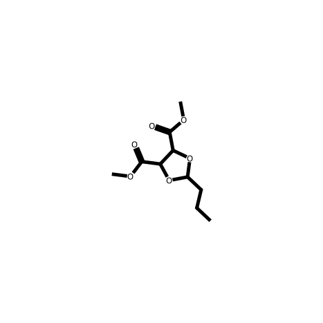 CCCC1OC(C(=O)OC)C(C(=O)OC)O1